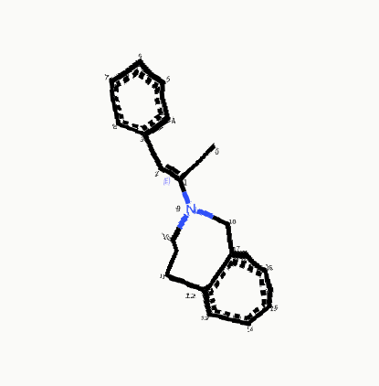 C/C(=C\c1ccccc1)N1CCc2ccccc2C1